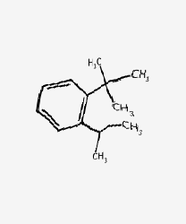 CC(C)c1[c]cccc1C(C)(C)C